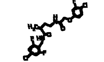 C=C(CCNC(=O)COc1ccc(Cl)c(F)c1)C(=O)NCc1c(F)cc(Cl)cc1F